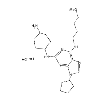 COCCCCNc1nc(NC2CCC(N)CC2)nc2c1ncn2C1CCCC1.Cl.Cl